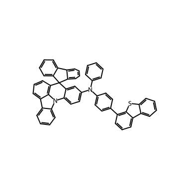 c1ccc(N(c2ccc(-c3cccc4c3sc3ccccc34)cc2)c2ccc3c(c2)C2(c4ccccc4-c4ccccc42)c2cccc4c5ccccc5n-3c24)cc1